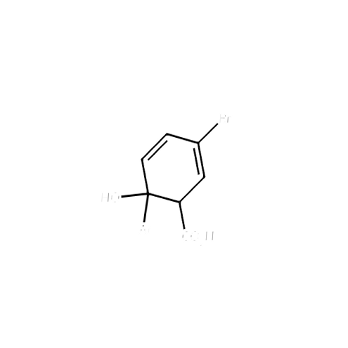 CC(=O)C1(O)C=CC(Br)=CC1C(=O)O